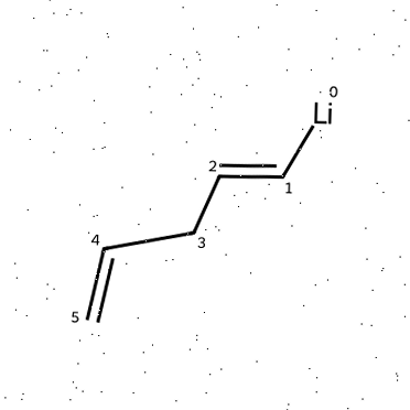 [Li][CH]=CCC=C